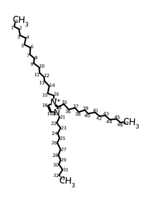 CCCCCCCCCCCCCCCCC[n+]1ccn(CCCCCCCCCCCCC)c1CCCCCCCCCCCCC